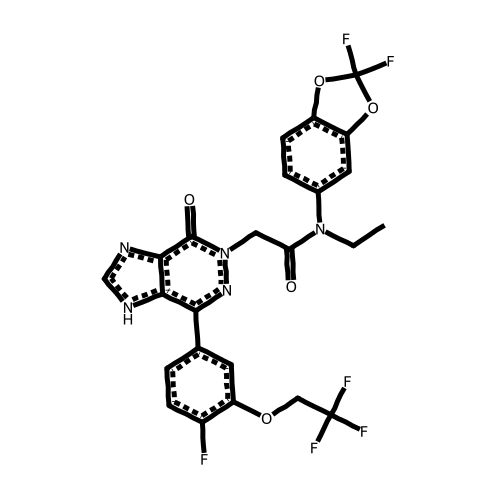 CCN(C(=O)Cn1nc(-c2ccc(F)c(OCC(F)(F)F)c2)c2[nH]cnc2c1=O)c1ccc2c(c1)OC(F)(F)O2